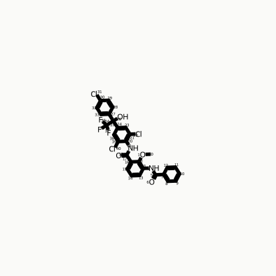 COc1c(NC(=O)c2ccccc2)cccc1C(=O)Nc1c(Cl)cc(C(O)(c2ccc(Cl)cc2)C(F)(F)F)cc1Cl